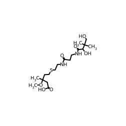 COC(C)(CCSCCNC(=O)CCNC(=O)C(O)C(C)(C)CO)CC(=O)O